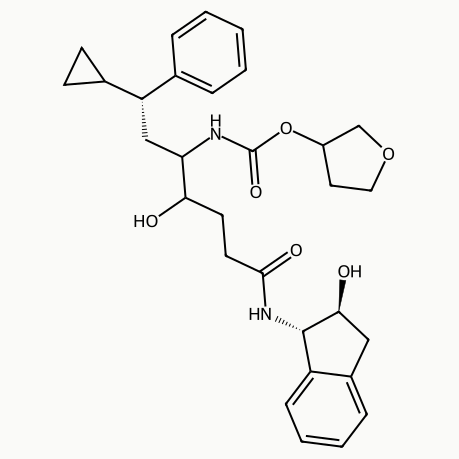 O=C(CCC(O)C(C[C@@H](c1ccccc1)C1CC1)NC(=O)OC1CCOC1)N[C@H]1c2ccccc2C[C@@H]1O